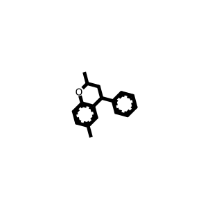 Cc1ccc2c(c1)C(c1ccccc1)CC(C)O2